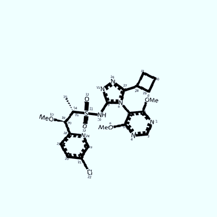 COc1ncnc(OC)c1-n1c(NS(=O)(=O)[C@@H](C)[C@H](OC)c2ccc(Cl)cn2)nnc1C1CCC1